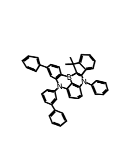 CC1(C)C2=C(c3ccccc31)N(c1ccccc1)c1cccc3c1B2c1ccc(-c2ccccc2)cc1N3c1cccc(-c2ccccc2)c1